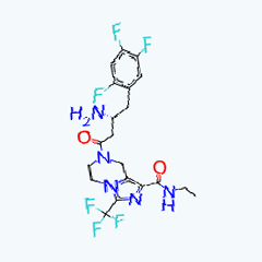 CCNC(=O)c1nc(C(F)(F)F)n2c1CN(C(=O)C[C@H](N)Cc1cc(F)c(F)cc1F)CC2